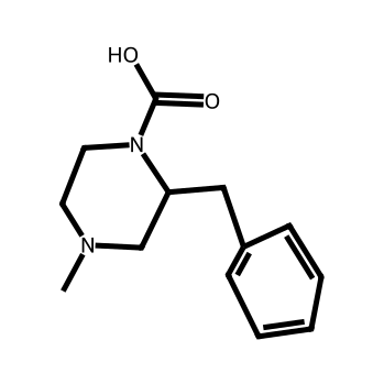 CN1CCN(C(=O)O)C(Cc2ccccc2)C1